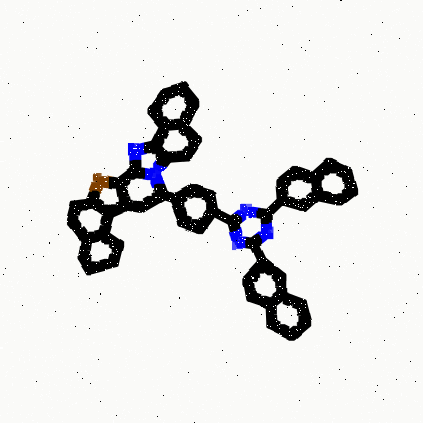 c1ccc2cc(-c3nc(-c4ccc(-c5cc6c(sc7ccc8ccccc8c76)c6nc7c8ccccc8ccc7n56)cc4)nc(-c4ccc5ccccc5c4)n3)ccc2c1